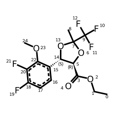 CCOC(=O)[C@@H]1OC(C)(C(F)(F)F)O[C@H]1c1ccc(F)c(F)c1OC